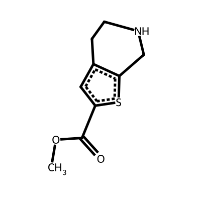 COC(=O)c1cc2c(s1)CNCC2